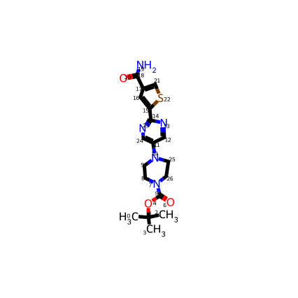 CC(C)(C)OC(=O)N1CCN(c2cnc(-c3cc(C(N)=O)cs3)nc2)CC1